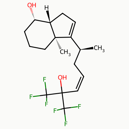 C[C@@H](C/C=C\C(O)(C(F)(F)F)C(F)(F)F)C1=CC[C@H]2[C@@H](O)CCC[C@]12C